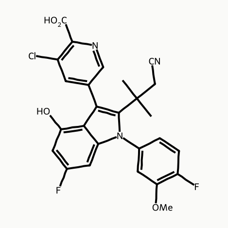 COc1cc(-n2c(C(C)(C)CC#N)c(-c3cnc(C(=O)O)c(Cl)c3)c3c(O)cc(F)cc32)ccc1F